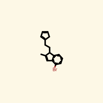 CC1=Cc2c(Br)cccc2C1CCC1=CC=CC1